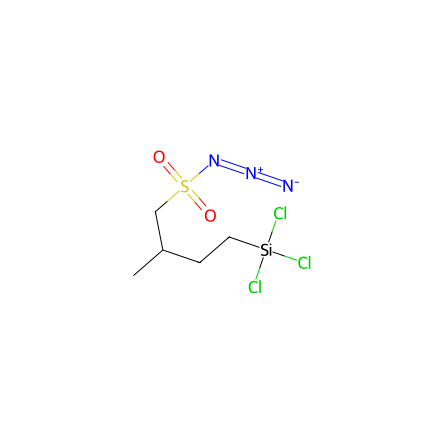 CC(CC[Si](Cl)(Cl)Cl)CS(=O)(=O)N=[N+]=[N-]